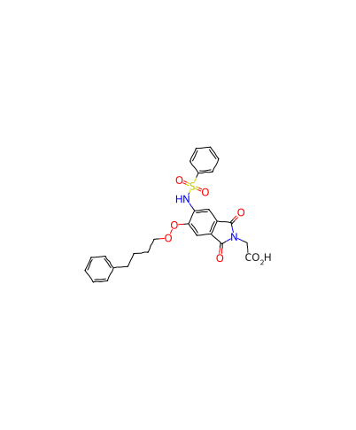 O=C(O)CN1C(=O)c2cc(NS(=O)(=O)c3ccccc3)c(OOCCCCc3ccccc3)cc2C1=O